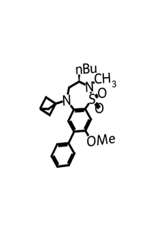 CCCC[C@@H]1CN(C23CC(C2)C3)c2cc(-c3ccccc3)c(OC)cc2S(=O)(=O)N1C